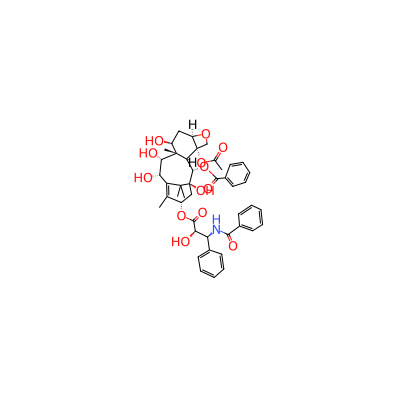 CC(=O)O[C@@]12CO[C@@H]1C[C@H](O)[C@]1(C)[C@@H]2[C@H](OC(=O)c2ccccc2)[C@]2(O)C[C@H](OC(=O)[C@H](O)[C@@H](NC(=O)c3ccccc3)c3ccccc3)C(C)=C([C@H](O)[C@@H]1O)C2(C)C